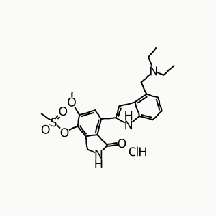 CCN(CC)Cc1cccc2[nH]c(-c3cc(OC)c(OS(C)(=O)=O)c4c3C(=O)NC4)cc12.Cl